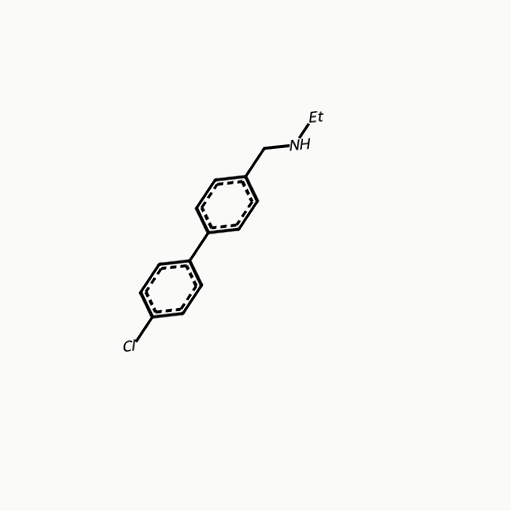 [CH2]CNCc1ccc(-c2ccc(Cl)cc2)cc1